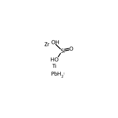 O=[Si](O)O.[PbH2].[Ti].[Zr]